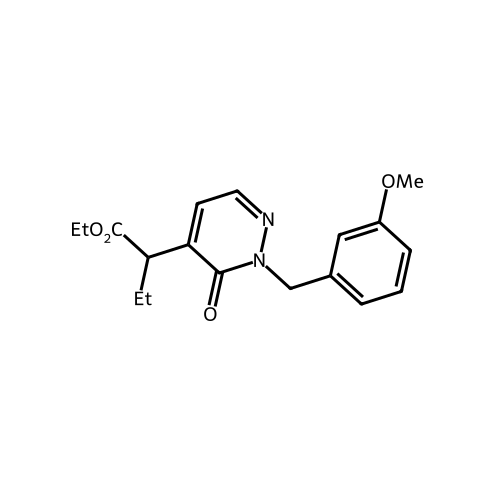 CCOC(=O)C(CC)c1ccnn(Cc2cccc(OC)c2)c1=O